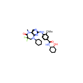 COc1cc(C(=O)N[C@H]2CCCC[C@@H]2O)ccc1Nc1ncc2c(n1)N(C1CCCCC1)CC(F)(F)C(=O)N2C